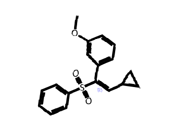 COc1cccc(/C(=C\C2CC2)S(=O)(=O)c2ccccc2)c1